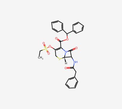 CCS(=O)(=O)OC1=C(C(=O)OC(c2ccccc2)c2ccccc2)N2C(=O)C(NC(=O)Cc3ccccc3)[C@@H]2SC1